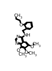 CCCOc1ccccc1CNc1ncnc2c(OC)c(OC)c(OC)cc12